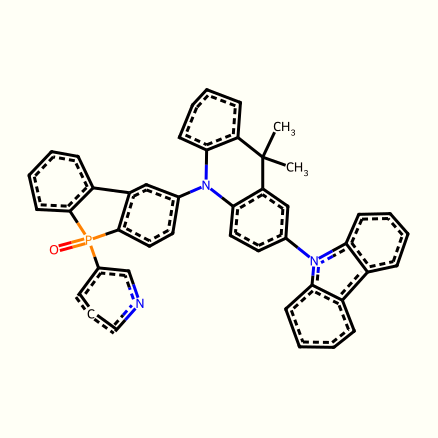 CC1(C)c2ccccc2N(c2ccc3c(c2)-c2ccccc2P3(=O)c2cccnc2)c2ccc(-n3c4ccccc4c4ccccc43)cc21